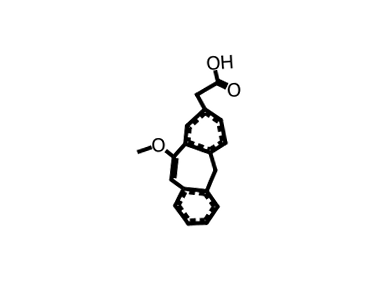 COC1=Cc2ccccc2Cc2ccc(CC(=O)O)cc21